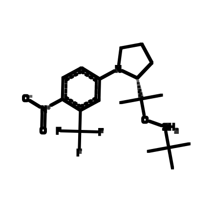 CC(C)(C)[SiH2]OC(C)(C)[C@H]1CCCN1c1ccc([N+](=O)[O-])c(C(F)(F)F)c1